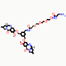 C=C1C[C@H]2C=Nc3cc(OCc4cc(CNC(=O)CCOCCOCCOCCONC(=O)CCN)cc(COc5cc6c(cc5OC)C(=O)N5CC(=C)C[C@H]5C=N6)c4)c(OC)cc3C(=O)N2C1